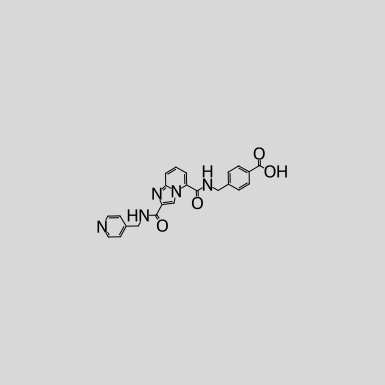 O=C(O)c1ccc(CNC(=O)c2cccc3nc(C(=O)NCc4ccncc4)cn23)cc1